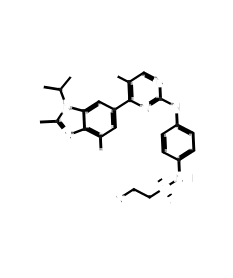 Cc1nc2c(F)cc(-c3nc(Nc4ccc(NS(=O)(=O)CCN)cc4)ncc3F)cc2n1C(C)C